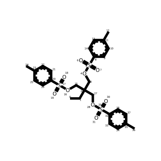 CCC(COS(=O)(=O)c1ccc(C)cc1)(COS(=O)(=O)c1ccc(C)cc1)COS(=O)(=O)c1ccc(C)cc1